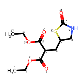 CCOC(=O)C(CC1CNC(=O)S1)C(=O)OCC